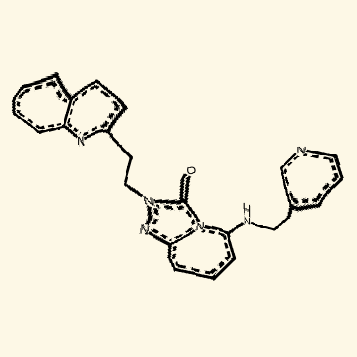 O=c1n(CCc2ccc3ccccc3n2)nc2cccc(NCc3cccnc3)n12